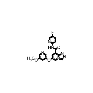 COc1cncc(Oc2cc(C(=O)Nc3ccc(F)cn3)c3nncn3c2)c1